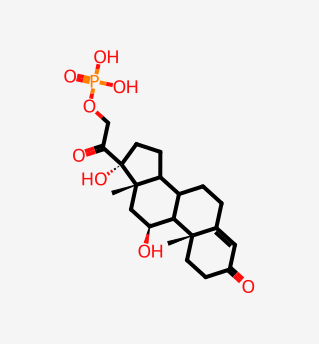 C[C@]12CCC(=O)C=C1CCC1C2[C@@H](O)C[C@@]2(C)C1CC[C@]2(O)C(=O)COP(=O)(O)O